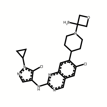 BC1(N2CCC(c3cc4nc(Nc5cnn(C6CC6)c5Cl)ncc4cc3Cl)CC2)COC1